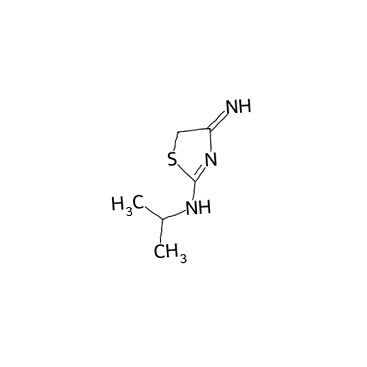 CC(C)NC1=NC(=N)CS1